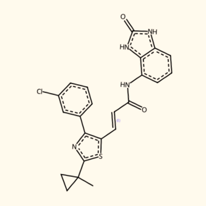 CC1(c2nc(-c3cccc(Cl)c3)c(/C=C/C(=O)Nc3cccc4[nH]c(=O)[nH]c34)s2)CC1